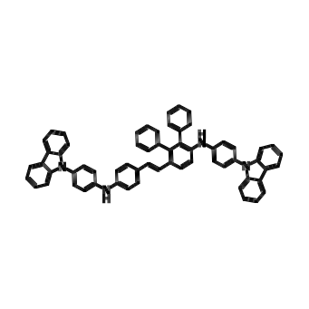 C(=Cc1ccc(Nc2ccc(-n3c4ccccc4c4ccccc43)cc2)c(-c2ccccc2)c1-c1ccccc1)c1ccc(Nc2ccc(-n3c4ccccc4c4ccccc43)cc2)cc1